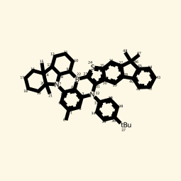 Cc1cc2c3c(c1)N1C4C(CCCC4C4(C)CCCCC14C)B3c1sc3cc4c(cc3c1N2c1ccc(C(C)(C)C)cc1)-c1ccccc1C4(C)C